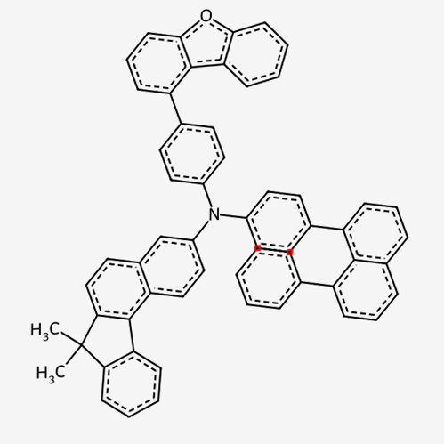 CC1(C)c2ccccc2-c2c1ccc1cc(N(c3ccc(-c4cccc5cccc(-c6ccccc6)c45)cc3)c3ccc(-c4cccc5oc6ccccc6c45)cc3)ccc21